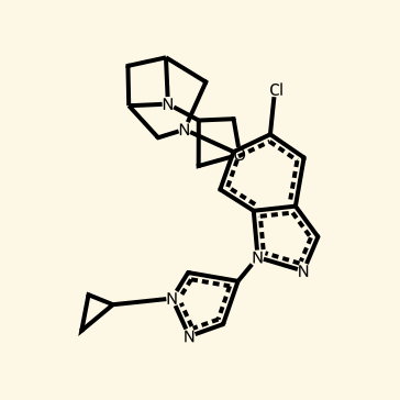 Clc1cc2cnn(-c3cnn(C4CC4)c3)c2cc1N1CC2CC(C1)N2C1COC1